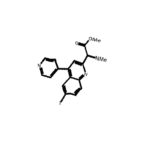 CNC(C(=O)OC)c1cc(-c2ccncc2)c2cc(I)ccc2n1